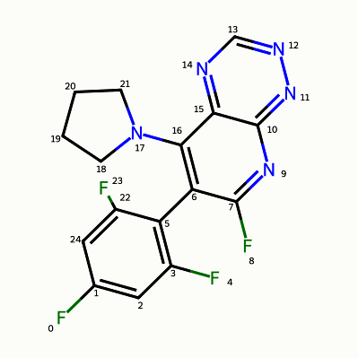 Fc1cc(F)c(-c2c(F)nc3nncnc3c2N2CCCC2)c(F)c1